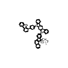 CC1(C)c2cc(-n3c4ccccc4c4cc5c6ccccc6n(-c6ccc(-c7cccc8c7oc7ccccc78)cc6)c5cc43)ccc2-c2ccc3ccccc3c21